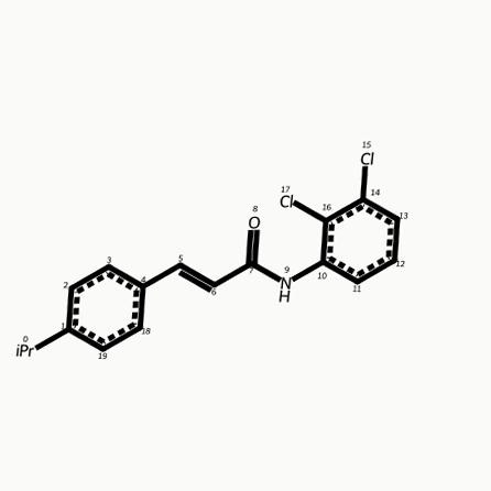 CC(C)c1ccc(C=CC(=O)Nc2cccc(Cl)c2Cl)cc1